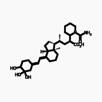 C[C@H](CC(C(=O)O)C1CCCCN1C(N)=O)[C@H]1CC[C@H]2C(=CC=C3CCC(O)C(O)(O)C3)CCC[C@]12C